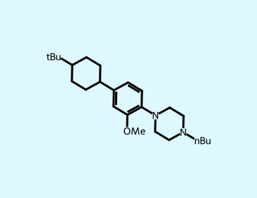 CCCCN1CCN(c2ccc(C3CCC(C(C)(C)C)CC3)cc2OC)CC1